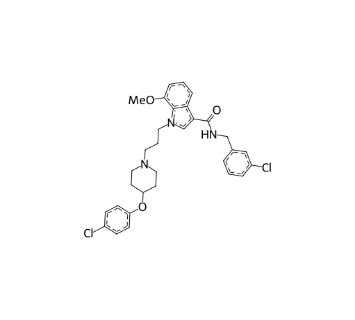 COc1cccc2c(C(=O)NCc3cccc(Cl)c3)cn(CCCN3CCC(Oc4ccc(Cl)cc4)CC3)c12